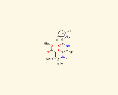 CC[C@H](C)[C@@H]([C@@H](CC(=O)OC(C)(C)C)OC)N(C)C(=O)C(NC(=O)[C@@H]1[C@H]2CC[C@H](C2)N1C)C(C)C